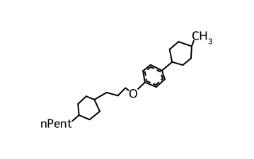 CCCCCC1CCC(CCCOc2ccc(C3CCC(C)CC3)cc2)CC1